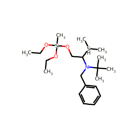 CCO[Si](C)(OCC)OCC(N(Cc1ccccc1)C(C)(C)C)[SiH](C)C